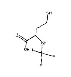 O=C(O)[C@H](CCS)NC(F)(F)F